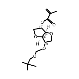 C=C(C)C(=O)O[C@H]1CO[C@H]2[C@@H]1OC[C@H]2OCOCC(C)(C)C